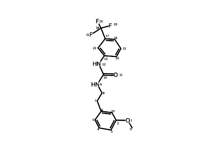 COc1cccc(CCNC(=O)Nc2cccc(C(F)(F)F)c2)c1